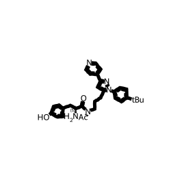 CC(=O)N(CCCc1cc(-c2ccncc2)nn1-c1ccc(C(C)(C)C)cc1)C(=O)[C@@H](N)Cc1ccc(O)cc1